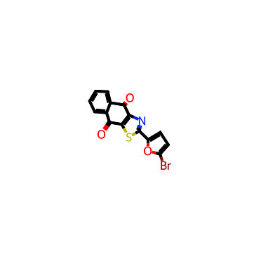 O=C1c2ccccc2C(=O)c2sc(-c3ccc(Br)o3)nc21